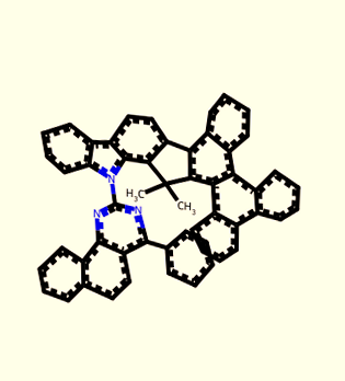 CC1(C)c2c(c3ccccc3c3c4ccccc4c4ccccc4c23)-c2ccc3c4ccccc4n(-c4nc(-c5ccccc5)c5ccc6ccccc6c5n4)c3c21